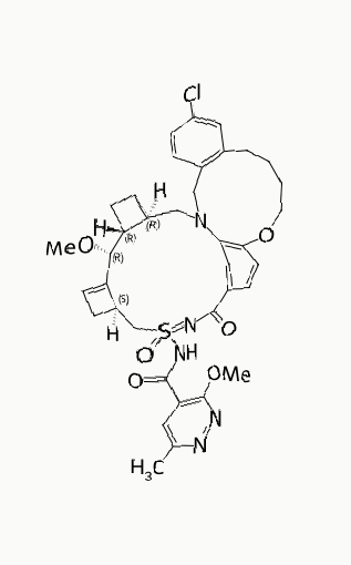 COc1nnc(C)cc1C(=O)NS1(=O)=NC(=O)c2ccc3c(c2)N(Cc2ccc(Cl)cc2CCCCO3)C[C@@H]2CC[C@H]2[C@@H](OC)C2=CC[C@@H]2C1